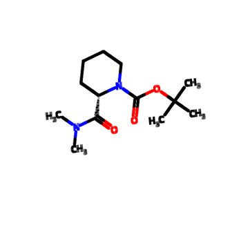 CN(C)C(=O)[C@@H]1CCCCN1C(=O)OC(C)(C)C